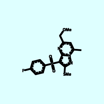 COCc1cc(C)n2nc(SC)c(S(=O)(=O)c3ccc(F)cc3)c2n1